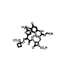 N#CC/N=C(/NC[C@@H]1[C@H](NC(=O)/C(=N\OC2(C(=O)O)CCC2)c2csc(N)n2)C(=O)N1S(=O)(=O)O)Nc1cc(=O)c(O)cn1O